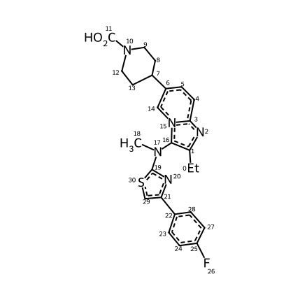 CCc1nc2ccc(C3CCN(C(=O)O)CC3)cn2c1N(C)c1nc(-c2ccc(F)cc2)cs1